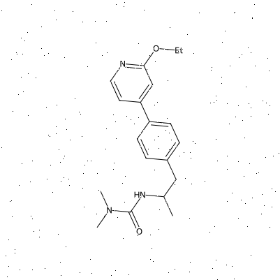 CCOc1cc(-c2ccc(CC(C)NC(=O)N(C)C)cc2)ccn1